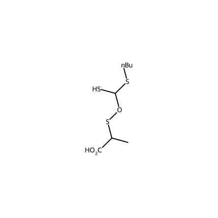 CCCCSC(S)OSC(C)C(=O)O